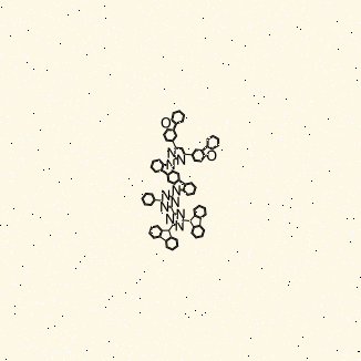 c1ccc(-c2nc(-c3nc(C4c5ccccc5-c5ccccc54)nc(C4c5ccccc5-c5ccccc54)n3)nc(-n3c4ccccc4c4cc5c(cc43)c3ccccc3n5-c3nc(-c4ccc5oc6ccccc6c5c4)cc(-c4ccc5oc6ccccc6c5c4)n3)n2)cc1